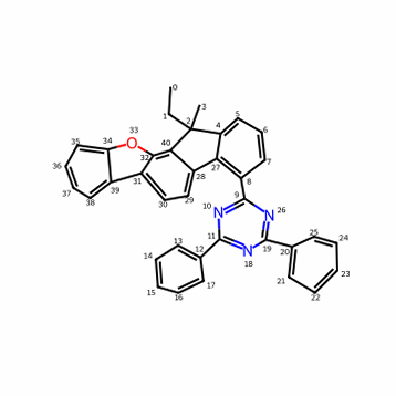 CCC1(C)c2cccc(-c3nc(-c4ccccc4)nc(-c4ccccc4)n3)c2-c2ccc3c(oc4ccccc43)c21